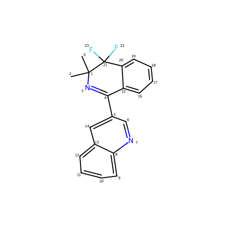 CC1(C)N=C(c2cnc3ccccc3c2)c2ccccc2C1(F)F